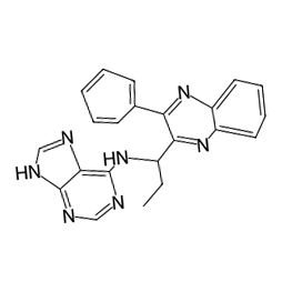 CCC(Nc1ncnc2[nH]cnc12)c1nc2ccccc2nc1-c1ccccc1